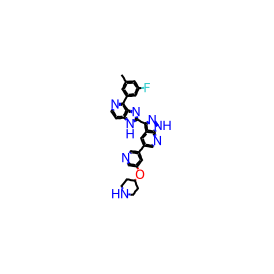 Cc1cc(F)cc(-c2nccc3[nH]c(-c4n[nH]c5ncc(-c6cncc(OC7CCNCC7)c6)cc45)nc23)c1